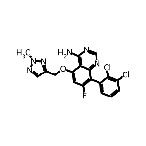 Cn1ncc(COc2cc(F)c(-c3cccc(Cl)c3Cl)c3ncnc(N)c23)n1